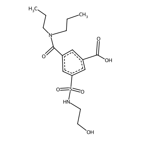 CCCN(CCC)C(=O)c1cc(C(=O)O)cc(S(=O)(=O)NCCO)c1